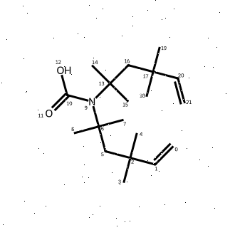 C=CC(C)(C)CC(C)(C)N(C(=O)O)C(C)(C)CC(C)(C)C=C